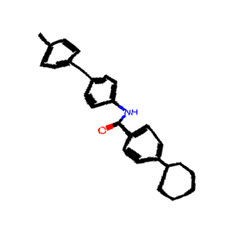 Cc1ccc(-c2ccc(NC(=O)c3ccc(C4CCCCC4)cc3)cc2)cc1